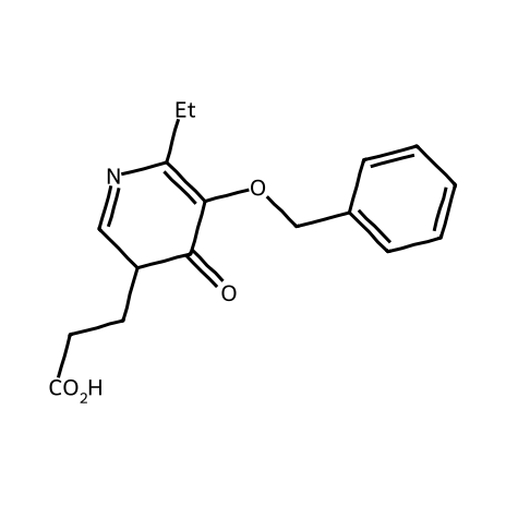 CCC1=C(OCc2ccccc2)C(=O)C(CCC(=O)O)C=N1